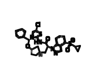 O=C(Nc1ncc(Cl)s1)C(C[C@H]1CCC(OCc2ccccc2)C1)n1ncc2c(S(=O)(=O)C3CC3)cccc21